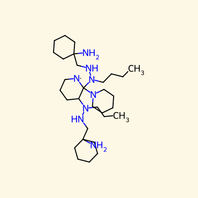 CCCCN(NCC1(N)CCCCC1)C1(N2CCCCC2)[N]CCCC1N(CCC)NCC1(N)CCCCC1